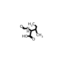 CCC(C)C(NC=O)C(=O)O